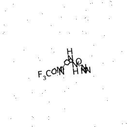 O=C(CCn1cncn1)Nc1c[nH]c2ccc(-c3cnn(-c4ccc(C(F)(F)F)cc4)c3)cc12